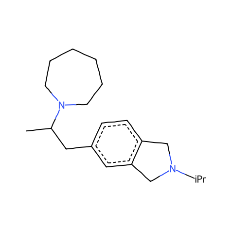 CC(C)N1Cc2ccc(CC(C)N3CCCCCC3)cc2C1